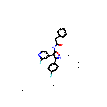 O=C(Cc1ccccc1)Nc1onc(-c2ccc(F)cc2)c1-c1ccnc(F)c1